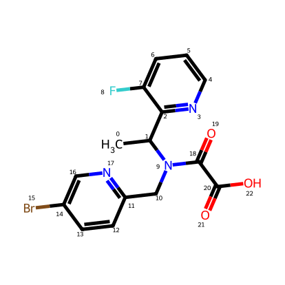 CC(c1ncccc1F)N(Cc1ccc(Br)cn1)C(=O)C(=O)O